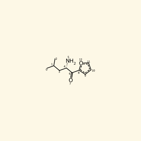 CC(C)C[C@H](N)C(=O)c1ccco1